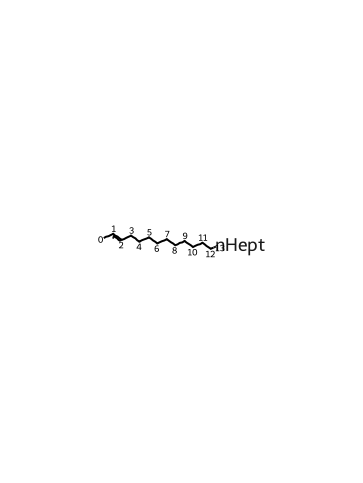 C/[C]=C/CCCCCCCCCCCCCCCCC